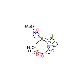 COCCN1CCCN(CC2CCC[C@H](C)[C@@H](C)S(=O)(=O)NC(=O)c3ccc4c(c3)N(C[C@@H]3CC[C@@H]23)C[C@@]2(CCCc3cc(Cl)ccc32)CO4)CC1=O